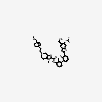 COCC12CCC(CCN3CCc4c(nc(C(=O)Nc5cccc(-c6cccc(-c7nc8cc(CO)c(OC(F)F)cc8o7)c6F)c5C)n4C)C3)(CC1)C2